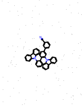 N#Cc1cccc(-c2ccc(-c3ccccc3-n3c4ccccc4c4ccccc43)c(-n3c4ccccc4c4ccccc43)c2)c1